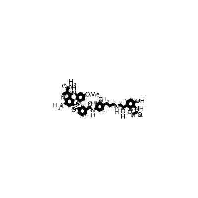 COc1cccc(Nc2c(C(N)=O)cnc3c(C)cc(S(=O)(=O)c4cccc(C(=O)Nc5ccc(CCCNC[C@H](O)c6ccc(O)c7c6OCC(=O)N7)c(C)c5)c4)cc23)c1